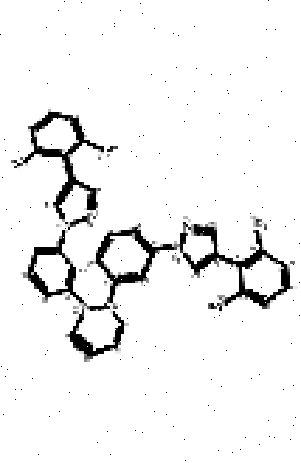 CC(C)c1cccc(C(C)C)c1-c1cnn(-c2cccc(B3C=CC=CN3c3cccc(-n4cc(-c5c(C(C)C)cccc5C(C)C)cn4)c3)c2)c1